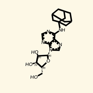 OC[C@H]1O[C@@H](n2cnc3c(NC45CC6CC(CC(C6)C4)C5)ncnc32)[C@H](O)[C@@H]1O